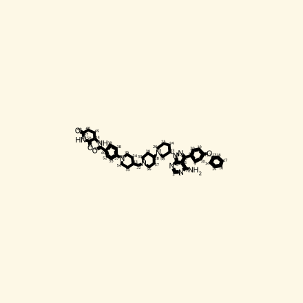 Nc1ncnc2c1c(-c1ccc(Oc3ccccc3)cc1)nn2[C@H]1CCCN(C2CCN(CC3CCN(c4ccc(C(=O)NC5CCC(=O)NC5=O)cc4)CC3)CC2)C1